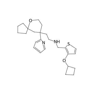 c1ccc(C2(CCNCc3sccc3OC3CCC3)CCOC3(CCCC3)C2)nc1